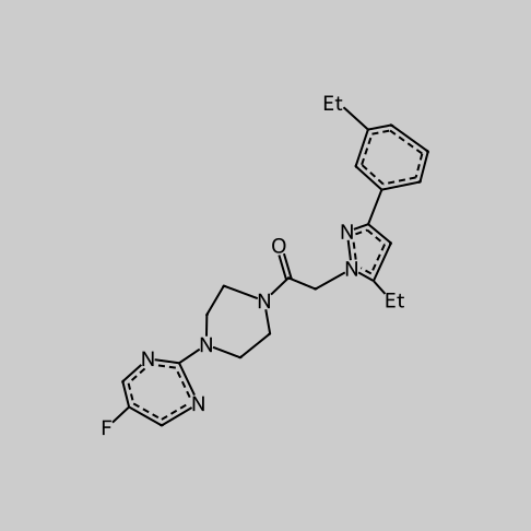 CCc1cccc(-c2cc(CC)n(CC(=O)N3CCN(c4ncc(F)cn4)CC3)n2)c1